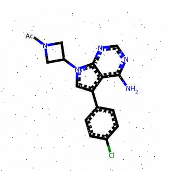 CC(=O)N1CC(n2cc(-c3ccc(Cl)cc3)c3c(N)ncnc32)C1